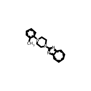 Cc1ccccc1N1CCN(c2nc3cccccc-3n2)CC1